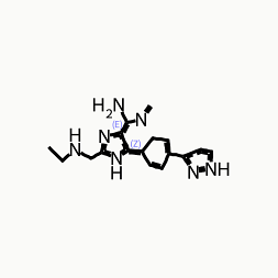 C=N/C(N)=c1/nc(CNCC)[nH]/c1=C1\C=CC(c2cc[nH]n2)=CC1